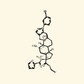 C[C@]12Cc3cnn(-c4cccc(Br)c4)c3C=C1CCC1[C@@H]2[C@@H](O)C[C@@]2(C)[C@H]1CC[C@]2(OC(=O)c1ccco1)C(=O)SCF